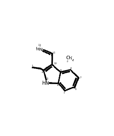 C.Cc1[nH]c2ccccc2c1C=N